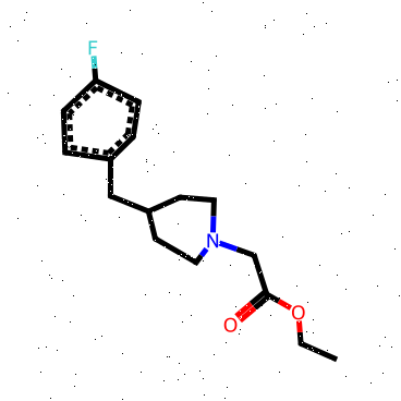 CCOC(=O)CN1CCC(Cc2ccc(F)cc2)CC1